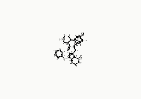 Cn1ccc(C2CCNCC2C(=O)N(Cc2cn(Cc3cccnc3)c3cccc(F)c23)C2CC2)cc1=O